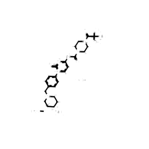 CC[C@@H]1CN(Cc2ccc(-n3ccc(NC(=O)N4CCN(C(=O)C(C)(C)N)CC4)nc3=O)cc2)CC[C@@H]1N.Cl